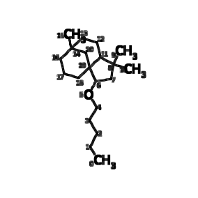 CCCCCOC1CC(C)(C)C2CCC3(C)CCCC12C3